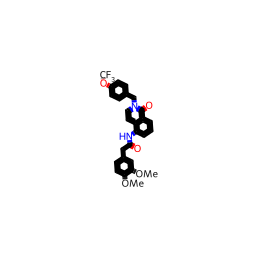 COc1ccc(CC(=O)Nc2cccc3c(=O)n(Cc4ccc(OC(F)(F)F)cc4)ccc23)cc1OC